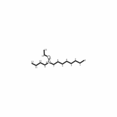 CCCCCCCCN(CCCC)OCC